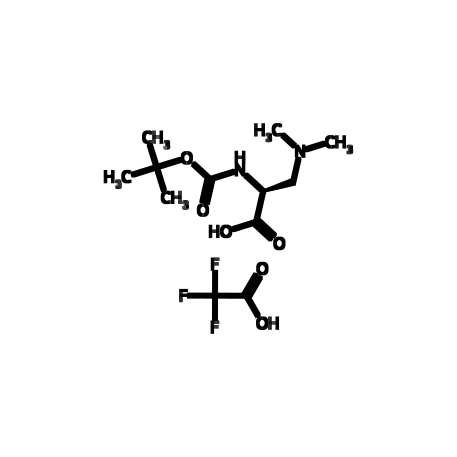 CN(C)C[C@H](NC(=O)OC(C)(C)C)C(=O)O.O=C(O)C(F)(F)F